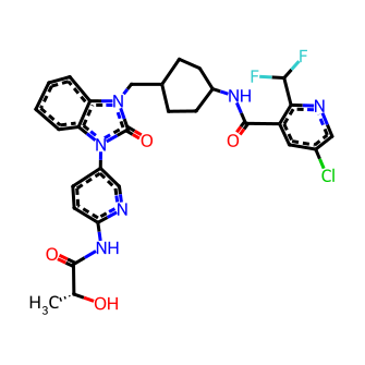 C[C@@H](O)C(=O)Nc1ccc(-n2c(=O)n(CC3CCC(NC(=O)c4cc(Cl)cnc4C(F)F)CC3)c3ccccc32)cn1